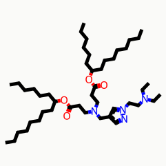 CCCCCCCCC(CCCCCC)OC(=O)CCN(CCC(=O)OC(CCCCCC)CCCCCCCC)Cc1cnn(CCN(CC)CC)c1